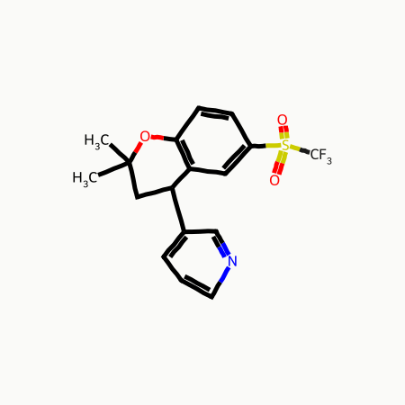 CC1(C)CC(c2cccnc2)c2cc(S(=O)(=O)C(F)(F)F)ccc2O1